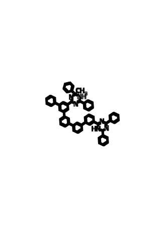 CC1(c2ccccc2)N=C(c2cc(-c3ccccc3)cc(-c3cccc(-c4cccc(-c5cccc(C6=NC(c7ccccc7)=NC(c7ccccc7)N6)c5)c4)c3)c2)N=C(c2ccccc2)N1